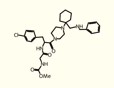 COC(=O)NCC(=O)NC(Cc1ccc(Cl)cc1)C(=O)N1CCN(C2(CNCc3ccccc3)CCCCC2)CC1